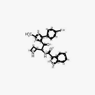 Cc1nc(C(=O)C(NC(=O)c2nsc3ccccc23)C2CCN2)c(-c2ccc(F)cc2)s1